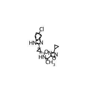 C[C@@H](NC(=O)[C@@H]1C[C@H]1c1nc2cc(Cl)ccc2[nH]1)c1nc(C2CC2)no1